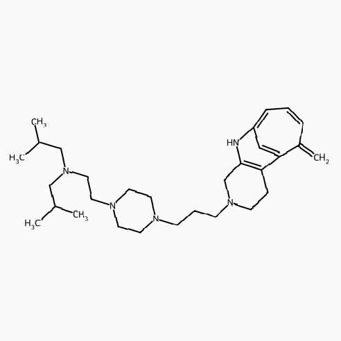 C=C1C=CC=C2C=C1C1=C(CN(CCCN3CCN(CCN(CC(C)C)CC(C)C)CC3)CC1)N2